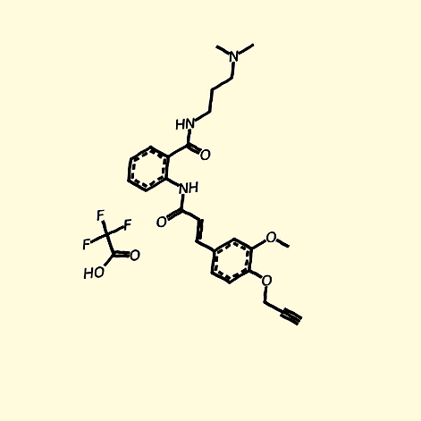 C#CCOc1ccc(/C=C/C(=O)Nc2ccccc2C(=O)NCCCN(C)C)cc1OC.O=C(O)C(F)(F)F